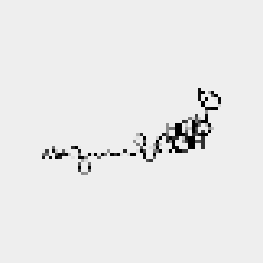 COC(=O)CCCCCCC(=O)O[C@@H]1CC[C@@]2(C)C(=CC[C@@H]3[C@@H]2CC[C@]2(C)C(c4cccnc4)=CC[C@@H]32)C1